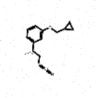 C[C@@H](CN=[N+]=[N-])c1cccc(OCC2CC2)c1